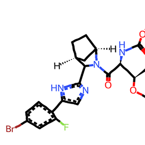 COC(=O)N[C@H](C(=O)N1C(c2ncc(-c3ccc(Br)cc3F)[nH]2)[C@H]2CC[C@@H]1C2)[C@@H](C)OC